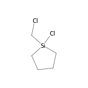 ClC[Si]1(Cl)CCCC1